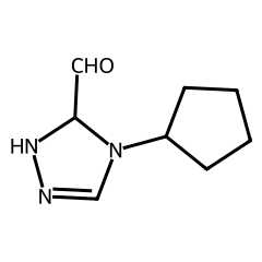 O=CC1NN=CN1C1CCCC1